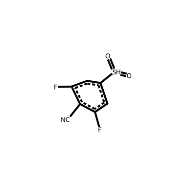 N#Cc1c(F)cc([SH](=O)=O)cc1F